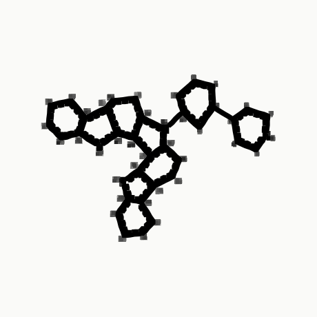 c1cc(-c2ccncc2)cc(-n2c3ccc4c5ccccc5sc4c3c3c4sc5ccccc5c4ccc32)c1